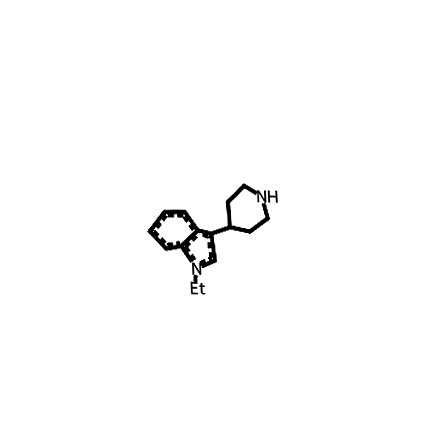 CCn1cc(C2CCNCC2)c2ccccc21